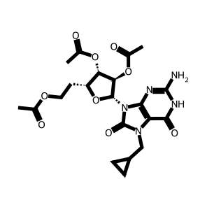 CC(=O)OCC[C@H]1O[C@@H](n2c(=O)n(CC3CC3)c3c(=O)[nH]c(N)nc32)[C@H](OC(C)=O)[C@H]1OC(C)=O